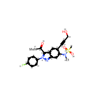 CCN(c1cc2nn(-c3ccc(F)cc3)c(C(=O)NC)c2cc1C#CCO)S(C)(=O)=O